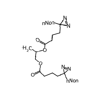 [CH2]C(COC(=O)CCCC1(CCCCCCCCC)N=N1)OC(=O)CCCC1(CCCCCCCCC)N=N1